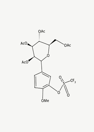 COc1ccc(C2O[C@H](COC(C)=O)[C@@H](OC(C)=O)[C@H](OC(C)=O)[C@@H]2OC(C)=O)cc1OS(=O)(=O)C(F)(F)F